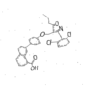 CCCc1onc(-c2c(Cl)cccc2Cl)c1COc1ccc(-c2ccc3cccc(C(=O)O)c3c2)cc1